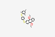 CCOc1c2ccccc2c(OCC)c2cc(Sc3ccc(Sc4c(C)cc(C)cc4C)cc3)ccc12